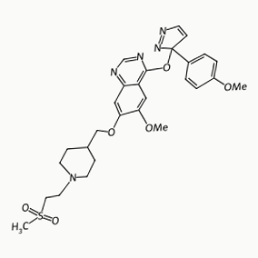 COc1ccc(C2(Oc3ncnc4cc(OCC5CCN(CCS(C)(=O)=O)CC5)c(OC)cc34)C=CN=N2)cc1